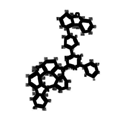 c1ccc(-c2nc(-c3ccc(-c4cccc5oc6ccccc6c45)cc3)nc(-n3c4ccc5sc6ccc7c8ccccc8n8c9cccc3c9c4c5c6c78)n2)cc1